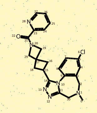 CN1Cc2cc(Cl)ccc2-n2c(nnc2C2CC3(C2)CN(C(=O)c2ccccn2)C3)C1